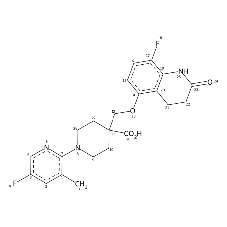 Cc1cc(F)cnc1N1CCC(COc2ccc(F)c3c2CCC(=O)N3)(C(=O)O)CC1